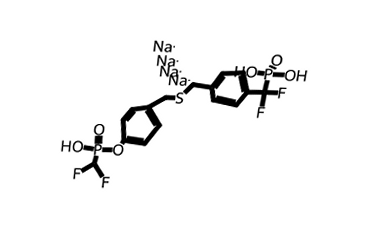 O=P(O)(Oc1ccc(CSCc2ccc(C(F)(F)P(=O)(O)O)cc2)cc1)C(F)F.[Na].[Na].[Na].[Na]